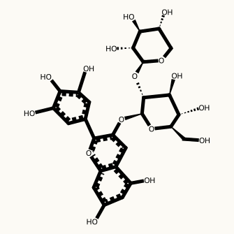 OC[C@H]1O[C@@H](Oc2cc3c(O)cc(O)cc3[o+]c2-c2cc(O)c(O)c(O)c2)[C@H](O[C@@H]2OC[C@@H](O)[C@H](O)[C@H]2O)[C@@H](O)[C@@H]1O